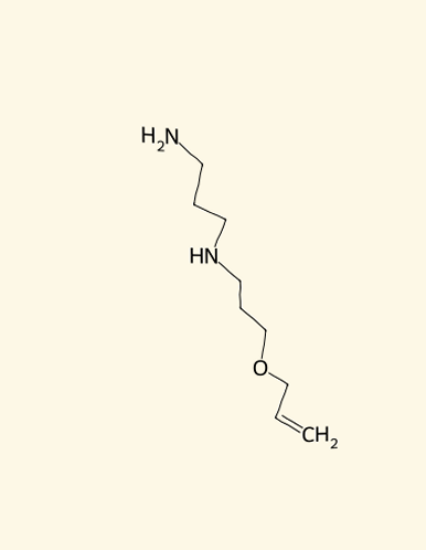 C=CCOCCCNCCCN